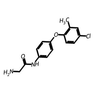 Cc1cc(Cl)ccc1Oc1ccc(NC(=O)CN)cc1